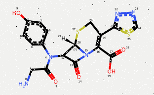 NCC(=O)N(c1ccc(O)cc1)C1C(=O)N2C(C(=O)O)=C(c3nncs3)CS[C@@H]12